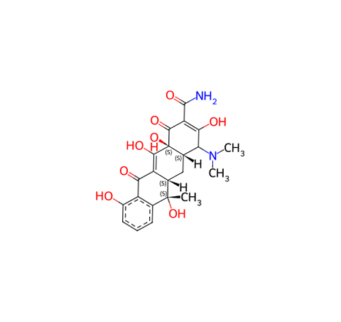 CN(C)C1C(O)=C(C(N)=O)C(=O)[C@@]2(O)C(O)=C3C(=O)c4c(O)cccc4[C@@](C)(O)[C@H]3C[C@@H]12